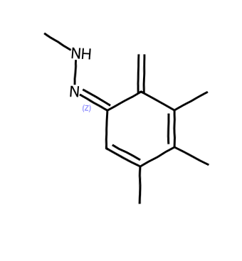 C=C1C(C)=C(C)C(C)=C/C1=N/NC